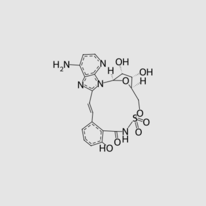 Nc1ccnc2c1nc1n2[C@@H]2O[C@H](COS(=O)(=O)NC(=O)c3c(O)cccc3/C=C/1)[C@@H](O)[C@H]2O